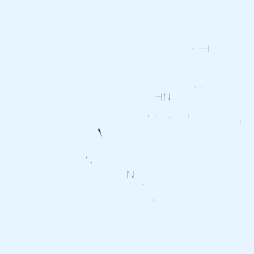 C[C@@H]1CN(Cc2ccc(F)cc2)[C@@H](C)CN1C(=O)COc1ccc(Cl)cc1CS(=O)(=O)NC(=O)CO